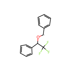 FC(F)(F)C(O[CH]c1ccccc1)c1ccccc1